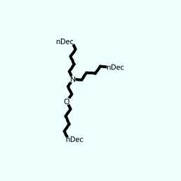 CCCCCCCCCCCCCCOCCN(CCCCCCCCCCCCCC)CCCCCCCCCCCCCC